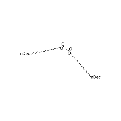 CCCCCCCCCCCCCCCCCCCCCCCCOC(=O)CCC(=O)OCCCCCCCCCCCCCCCCCCCCCCCC